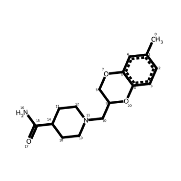 Cc1ccc2c(c1)OCC(CN1CCC(C(N)=O)CC1)O2